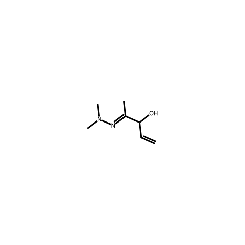 C=CC(O)C(C)=NN(C)C